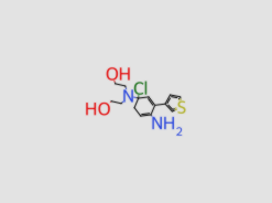 NC1=CCC(Cl)(N(CCO)CCO)C=C1c1ccsc1